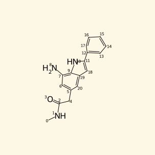 CNC(=O)Cc1cc(N)c2[nH]c(-c3ccccc3)cc2c1